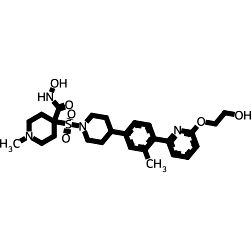 Cc1cc(C2CCN(S(=O)(=O)C3(C(=O)NO)CCN(C)CC3)CC2)ccc1-c1cccc(OCCO)n1